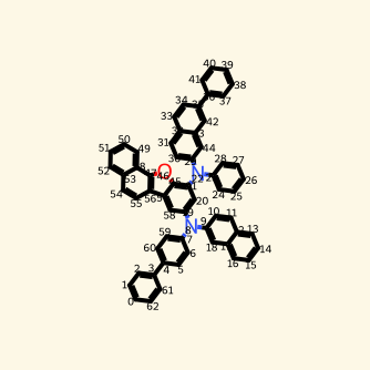 c1ccc(-c2ccc(N(c3ccc4ccccc4c3)c3cc(N(c4ccccc4)c4ccc5ccc(-c6ccccc6)cc5c4)c4oc5c6ccccc6ccc5c4c3)cc2)cc1